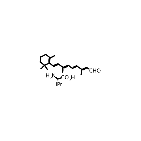 CC(C)[C@H](N)C(=O)O.CC1=C(/C=C/C(C)=C/C=C/C(C)=C/C=O)C(C)(C)CCC1